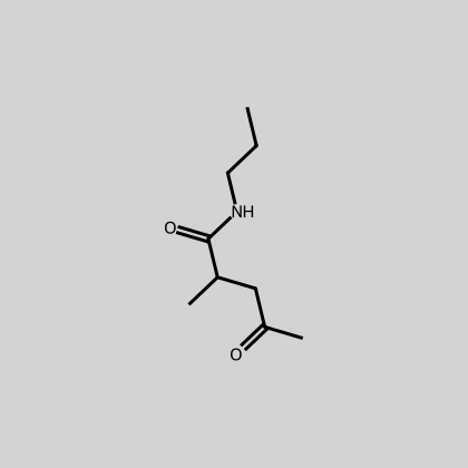 CCCNC(=O)C(C)CC(C)=O